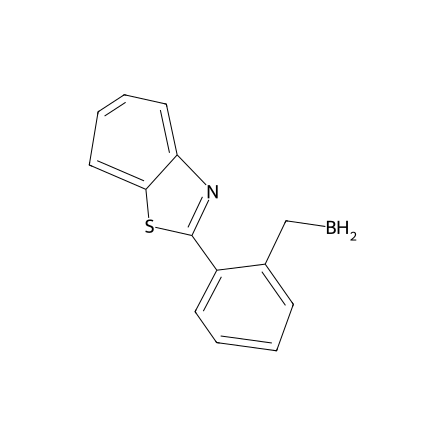 BCc1ccccc1-c1nc2ccccc2s1